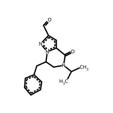 CC(C)N1CC(Cc2ccccc2)n2nc(C=O)cc2C1=O